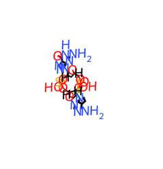 Nc1nc2c(nnn2[C@@H]2O[C@@H]3COP(=O)(O)O[C@@H]4[C@@H](COP(O)(=S)O[C@@H]2C3)OCC4(F)n2ccc3c(N)ncnc32)c(=O)[nH]1